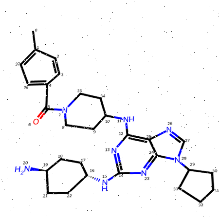 Cc1ccc(C(=O)N2CCC(Nc3nc(N[C@H]4CC[C@H](N)CC4)nc4c3ncn4C3CCCC3)CC2)cc1